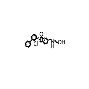 O=c1n(-c2cccc(-c3ccccc3)c2Cl)cc2ccc(CNCCO)cn12